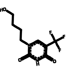 O=c1[nH]c(=O)n(CCCCO)cc1C(F)(F)F